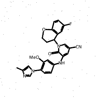 COc1cc(Nc2cc(C#N)cn(C3CCOc4ccc(F)cc43)c2=O)ccc1-n1cnc(C)c1